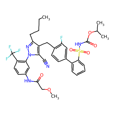 CCCCc1nn(-c2cc(NC(=O)COC)ccc2C(F)(F)F)c(C#N)c1Cc1ccc(-c2ccccc2S(=O)(=O)NC(=O)OC(C)C)cc1F